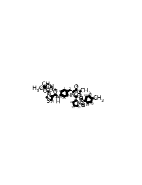 COC(=O)[C@H](Cc1ccc(NC(=O)C2CSCN2C(=O)OC(C)(C)C)cc1)NC(=O)[C@@H]1CCCN1S(=O)(=O)c1ccc(C)cc1